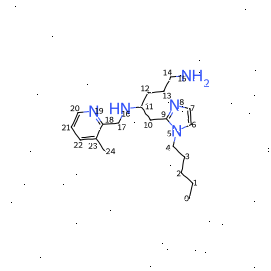 CCCCCn1ccnc1CC(CCCN)NCc1ncccc1C